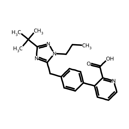 CCCn1nc(C(C)(C)C)nc1Cc1ccc(-c2cccnc2C(=O)O)cc1